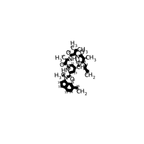 C=CCC[C@@H](OC)[C@@H](C)C(=O)N[C@H](C(=O)N[C@@H](C)C(=O)N1CCC[C@@H](C(=O)N(C)[C@@H]2CCc3ccc(C=C)cc32)N1)C(C)C